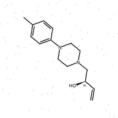 C=C[C@@H](O)CN1CCN(c2ccc(C)cc2)CC1